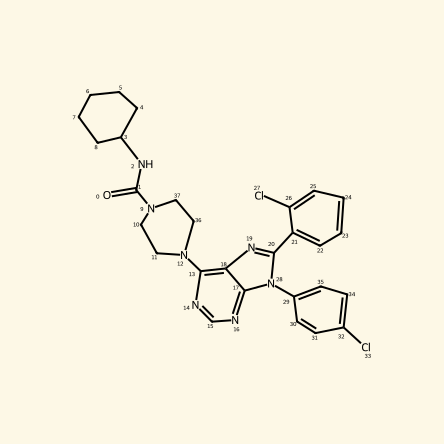 O=C(NC1CCCCC1)N1CCN(c2ncnc3c2nc(-c2ccccc2Cl)n3-c2ccc(Cl)cc2)CC1